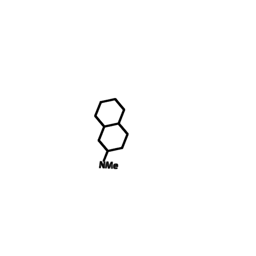 CNC1CCC2CCCCC2C1